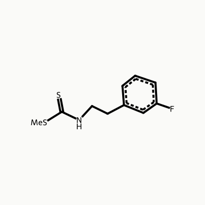 CSC(=S)NCCc1cccc(F)c1